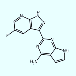 Nc1nc(-c2n[nH]c3ncc(F)cc23)nc2[nH]ccc12